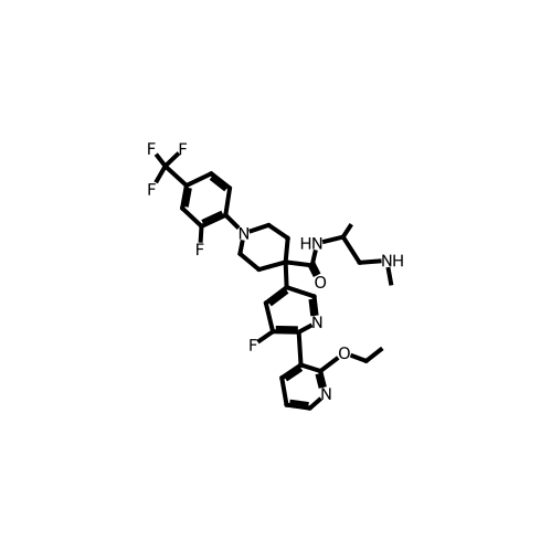 CCOc1ncccc1-c1ncc(C2(C(=O)NC(C)CNC)CCN(c3ccc(C(F)(F)F)cc3F)CC2)cc1F